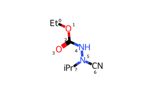 CCOC(=O)NN(C#N)C(C)C